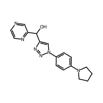 OC(c1cnccn1)c1cn(-c2ccc(N3CCCC3)cc2)nn1